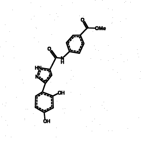 COC(=O)c1ccc(NC(=O)c2cc(-c3ccc(O)cc3O)n[nH]2)cc1